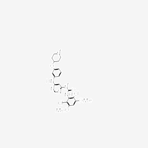 COc1cc(OC)c(Cl)c(NC(=O)N(C)c2cc(Nc3cccc(OC4CCN(C)CC4)c3)ncn2)c1Cl